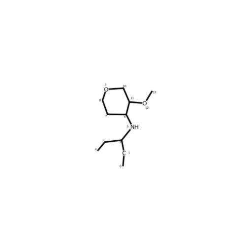 CCC(CC)NC1CCOCC1OC